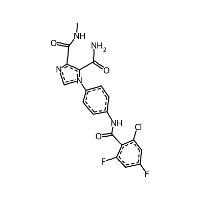 CNC(=O)c1ncn(-c2ccc(NC(=O)c3c(F)cc(F)cc3Cl)cc2)c1C(N)=O